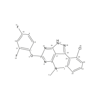 CN(C)c1nc(Oc2ccc(F)cc2F)nc2[nH]nc(-c3ccccc3Cl)c12